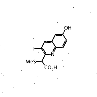 CSC(C(=O)O)c1nc2ccc(O)cc2cc1I